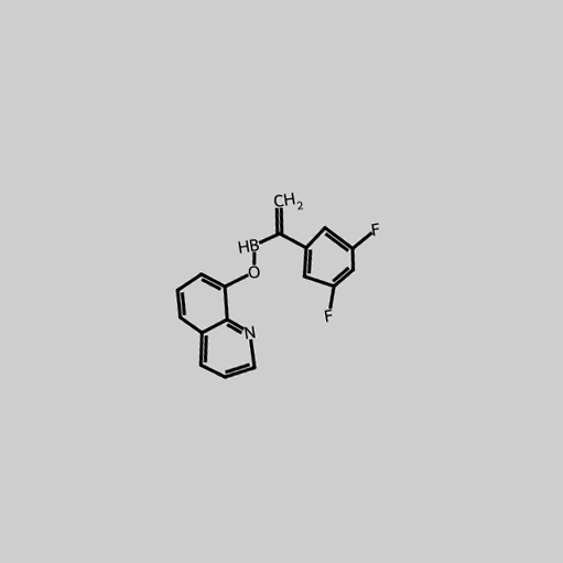 C=C(BOc1cccc2cccnc12)c1cc(F)cc(F)c1